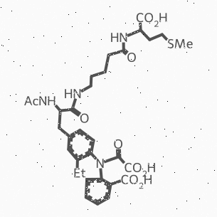 CCc1cc(CC(NC(C)=O)C(=O)NCCCCC(=O)NC(CCSC)C(=O)O)ccc1N(C(=O)C(=O)O)c1ccccc1C(=O)O